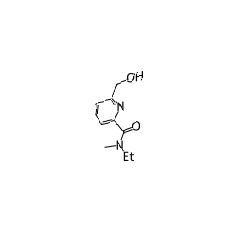 CCN(C)C(=O)c1cccc(CO)n1